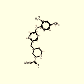 CNC(=O)[C@@H]1CN(Cc2cnc(Oc3ccc(C)cc3C)cn2)CCO1